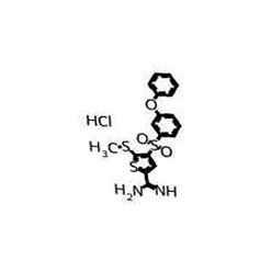 CSc1sc(C(=N)N)cc1S(=O)(=O)c1cccc(Oc2ccccc2)c1.Cl